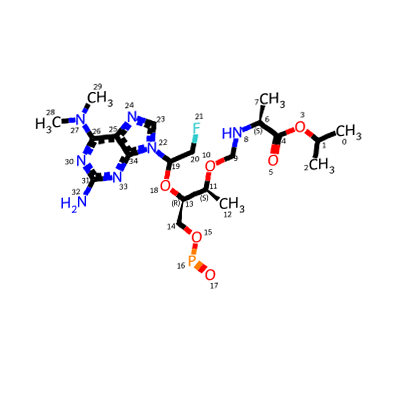 CC(C)OC(=O)[C@H](C)NCO[C@@H](C)[C@@H](COP=O)OC(CF)n1cnc2c(N(C)C)nc(N)nc21